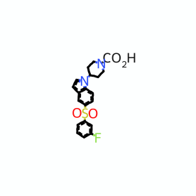 O=C(O)N1CCC(n2ccc3cc(S(=O)(=O)c4cccc(F)c4)ccc32)CC1